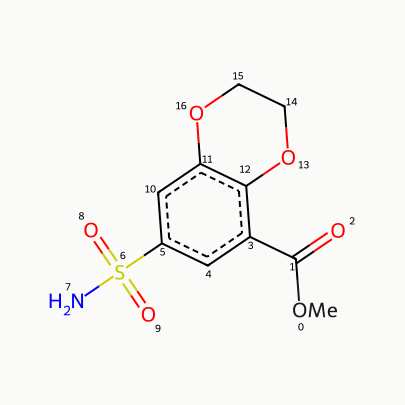 COC(=O)c1cc(S(N)(=O)=O)cc2c1OCCO2